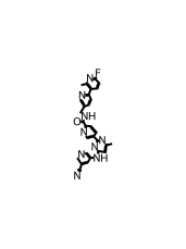 Cc1cc(Nc2cncc(C#N)c2)nc(-c2ccc(C(=O)NCc3ccc(-c4ccc(F)nc4C)nc3)nc2)n1